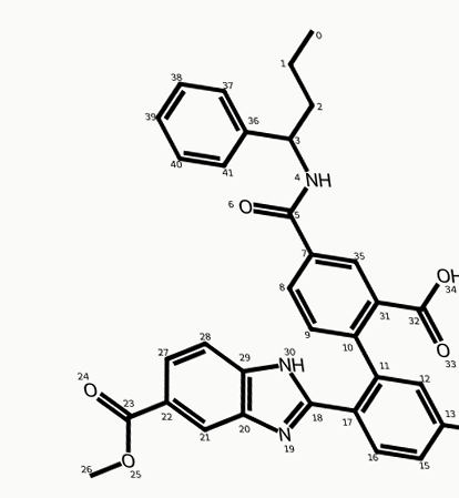 CCCC(NC(=O)c1ccc(-c2cc(Cl)ccc2-c2nc3cc(C(=O)OC)ccc3[nH]2)c(C(=O)O)c1)c1ccccc1